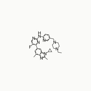 CCN1CCN(Cc2ccc(Nc3ncc(F)c(-c4cc(C)c5nc(C)n(C6CC6)c5c4)n3)nc2)CC1